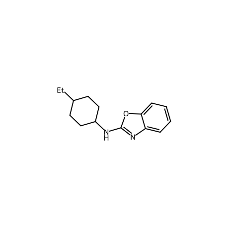 CCC1CCC(Nc2nc3ccccc3o2)CC1